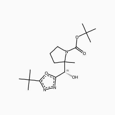 CC(C)(C)OC(=O)N1CCCC1(C)[C@H](O)c1nnc(C(C)(C)C)o1